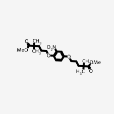 COC(=O)C(C)(C)CCCOc1ccc(OCCCC(C)(C)C(=O)OC)c([N+](=O)[O-])c1